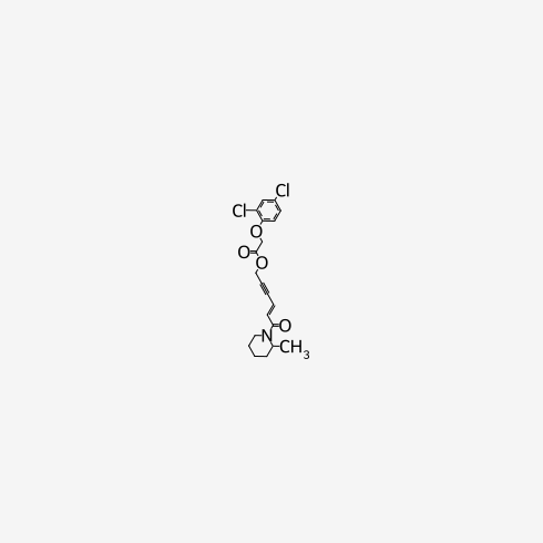 CC1CCCCN1C(=O)C=CC#CCOC(=O)COc1ccc(Cl)cc1Cl